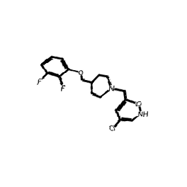 Fc1cccc(OCC2CCN(CC3=CC(Cl)=CNO3)CC2)c1F